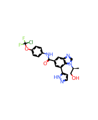 C[C@@H](CO)n1cnc2cc(C(=O)Nc3ccc(OC(F)(F)Cl)cc3)cc(-c3ccn[nH]3)c21